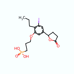 CCCc1c(I)cc(C2CCC(=O)O2)cc1OCCCP(=O)(O)O